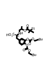 CCC(C)COC(=O)Oc1ccc(C[C@H](NCC(C)OC(=O)C(C)(C)CC)C(=O)O)cc1OC(=O)OCC(C)CC